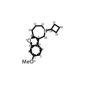 COc1ccc2c3c(oc2c1)CCCN(C1CCC1)C3